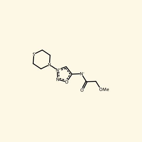 COCC(=O)[N-]c1c[n+](N2CCSCC2)no1